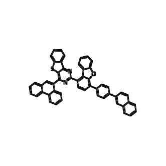 c1ccc2cc(-c3ccc(-c4ccc(-c5nc(-c6cc7ccccc7c7ccccc67)c6sc7ccccc7c6n5)c5c4oc4ccccc45)cc3)ccc2c1